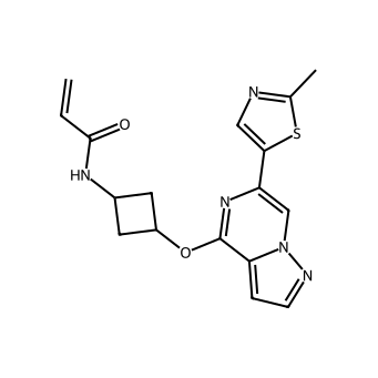 C=CC(=O)NC1CC(Oc2nc(-c3cnc(C)s3)cn3nccc23)C1